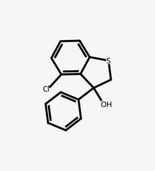 OC1(c2ccccc2)CSc2cccc(Cl)c21